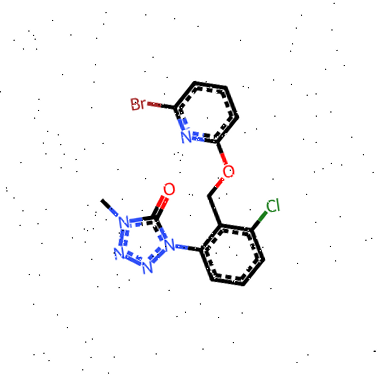 Cn1nnn(-c2cccc(Cl)c2COc2cccc(Br)n2)c1=O